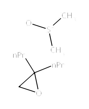 CCCC1(CCC)CO1.C[S+](C)[O-]